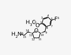 COc1ccc(F)cc1C[C@H]1CC[C@@H](CCN)O1